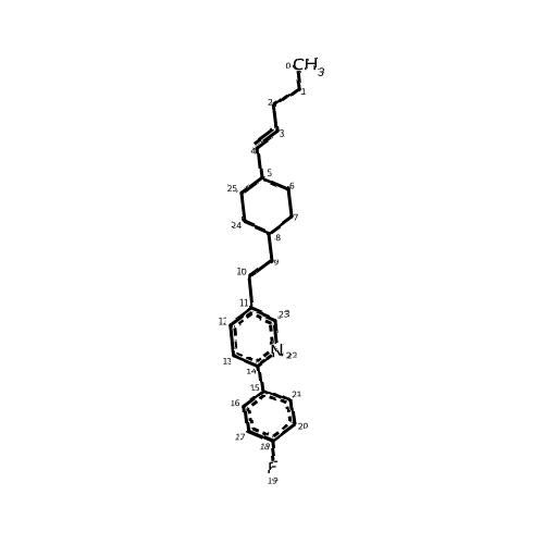 CCCC=CC1CCC(CCc2ccc(-c3ccc(F)cc3)nc2)CC1